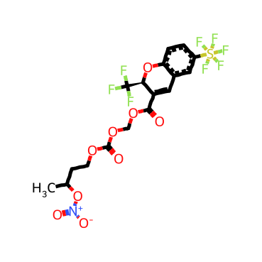 CC(CCOC(=O)OCOC(=O)C1=Cc2cc(S(F)(F)(F)(F)F)ccc2O[C@@H]1C(F)(F)F)O[N+](=O)[O-]